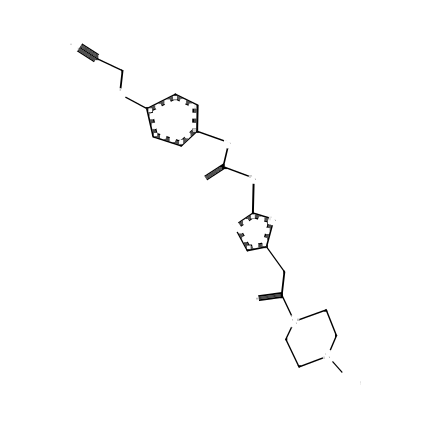 C#CCOc1ccc(NC(=O)Nc2nc(CC(=O)N3CCN(C)CC3)cs2)cc1